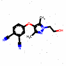 Cc1nn(CCO)c(C)c1Oc1ccc(C#N)c(C#N)c1